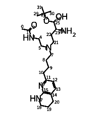 CC(=O)NCCN(CCCCc1ccc2c(n1)NCCC2)CC[C@H](N)C(O)OC(C)(C)C